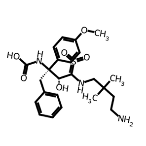 COc1ccc([C@](Cc2ccccc2)(NC(=O)O)[C@@H](O)C(NCC(C)(C)CCN)=S(=O)=O)cc1